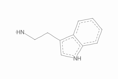 [NH]CCc1c[nH]c2ccccc12